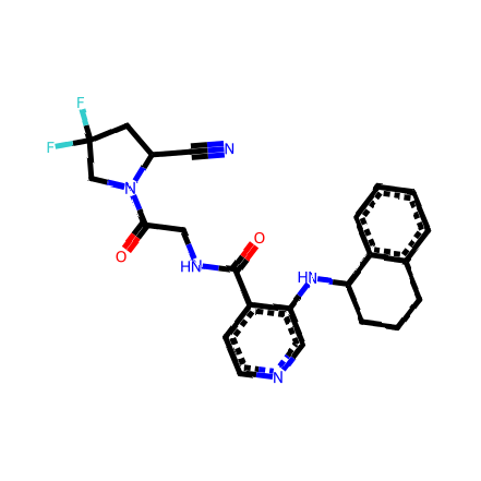 N#CC1CC(F)(F)CN1C(=O)CNC(=O)c1ccncc1NC1CCCc2ccccc21